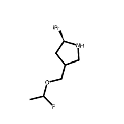 CC(F)OCC1CN[C@H](C(C)C)C1